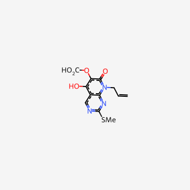 C=CCn1c(=O)c(OC(=O)O)c(O)c2cnc(SC)nc21